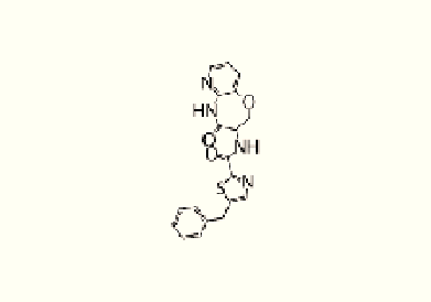 O=C(NC1COc2cccnc2NC1=O)c1ncc(Cc2ccccc2)s1